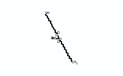 CCCCCCCCCCCCCCCC(=O)O[C@@H](COP=O)COC(=O)CCCCCCCCCCCCCS